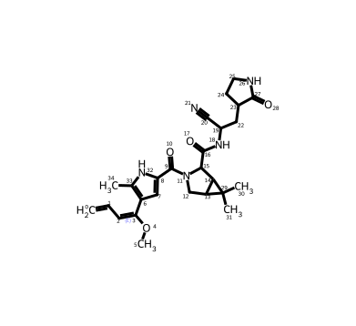 C=C/C=C(/OC)c1cc(C(=O)N2CC3C(C2C(=O)NC(C#N)CC2CCNC2=O)C3(C)C)[nH]c1C